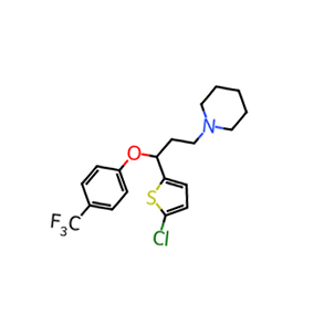 FC(F)(F)c1ccc(OC(CCN2CCCCC2)c2ccc(Cl)s2)cc1